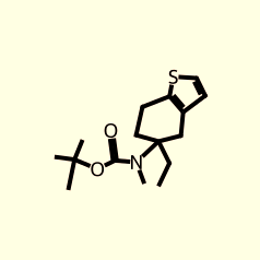 CCC1(N(C)C(=O)OC(C)(C)C)CCc2sccc2C1